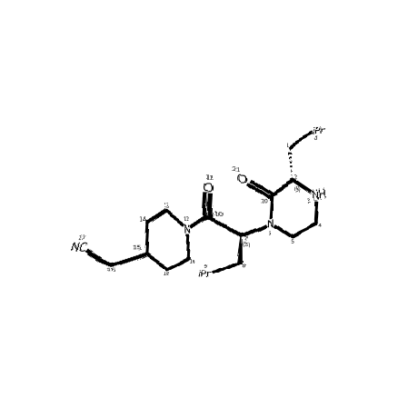 CC(C)C[C@@H]1NCCN([C@@H](CC(C)C)C(=O)N2CCC(CC#N)CC2)C1=O